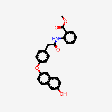 COC(=O)c1ccccc1NC(=O)Cc1ccc(Oc2ccc3cc(O)ccc3c2)cc1